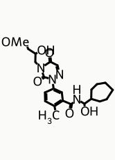 COCC(O)Cn1c(=O)cnn(-c2ccc(C)c(C(=O)NC(O)C3CCCCCC3)c2)c1=O